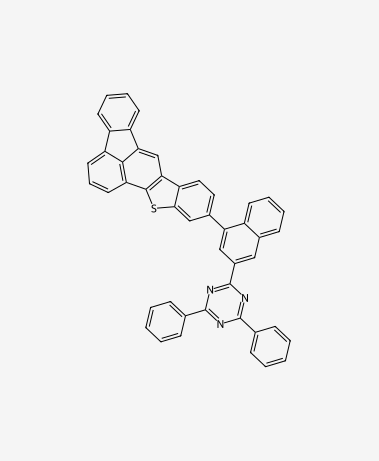 c1ccc(-c2nc(-c3ccccc3)nc(-c3cc(-c4ccc5c(c4)sc4c6cccc7c6c(cc54)-c4ccccc4-7)c4ccccc4c3)n2)cc1